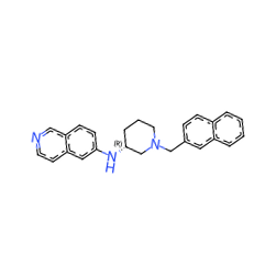 c1ccc2cc(CN3CCC[C@@H](Nc4ccc5cnccc5c4)C3)ccc2c1